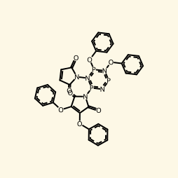 O=C1C=CC(=O)N1n1p(N2C(=O)C(Oc3ccccc3)=C(Oc3ccccc3)C2=O)npn(Oc2ccccc2)p1Oc1ccccc1